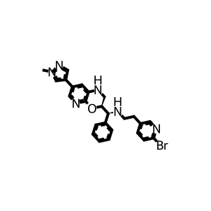 Cn1cc(-c2cnc3c(c2)NC[C@@H]([C@H](NCCc2ccc(Br)nc2)c2ccccc2)O3)cn1